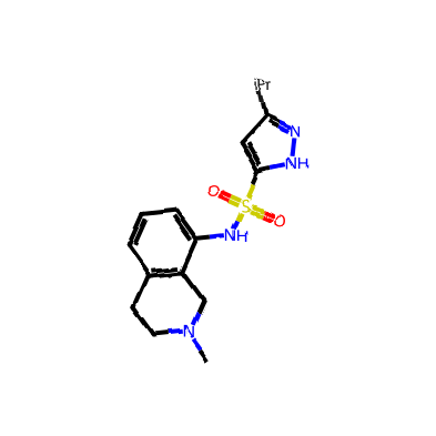 CC(C)c1cc(S(=O)(=O)Nc2cccc3c2CN(C)CC3)[nH]n1